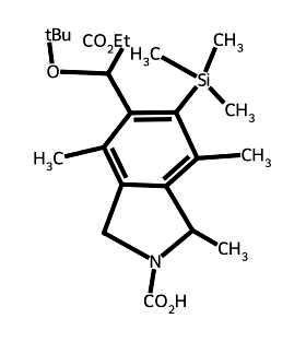 CCOC(=O)C(OC(C)(C)C)c1c(C)c2c(c(C)c1[Si](C)(C)C)C(C)N(C(=O)O)C2